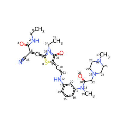 CCNC(=O)C(=C=c1sc(=C=CNc2cccc(N(C)C(=O)CN3CCN(C)CC3)c2)c(=O)n1CC)C#N